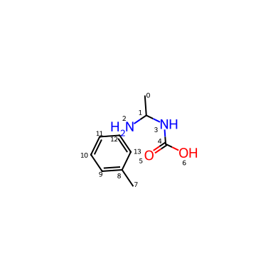 CC(N)NC(=O)O.Cc1ccccc1